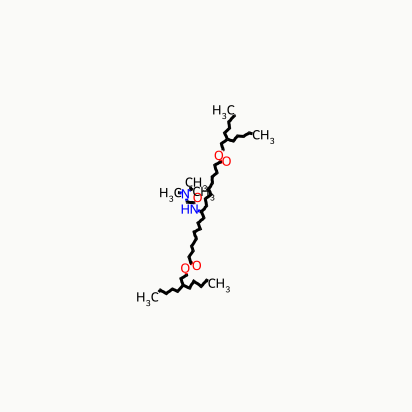 CCCCCC(CCCCC)CCOC(=O)CCCCCCCCC(CCCCCCCCC(=O)OCCC(CCCCC)CCCCC)NC(=O)CN(C)C(C)C